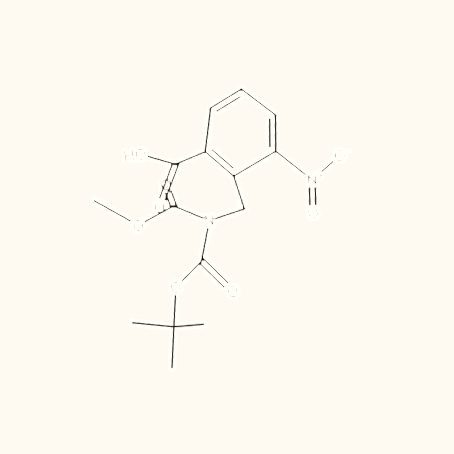 COC(=O)N(Cc1c(C(=O)O)cccc1[N+](=O)[O-])C(=O)OC(C)(C)C